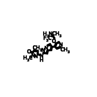 Cc1cc(-c2ccn3nc(Nc4cc(C)c(=O)n(C)n4)cc3c2)c(OC[C@@](C)(N)C(F)(F)F)cn1